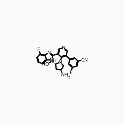 N#Cc1cc(F)cc(-c2cncc(-c3nc4c(F)cccc4[nH]3)c2N2C[C@@H](N)C[C@@H]2CO)c1